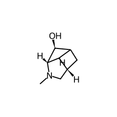 CN1C[C@H]2CC3[C@H]2[C@H]1[C@H]3O